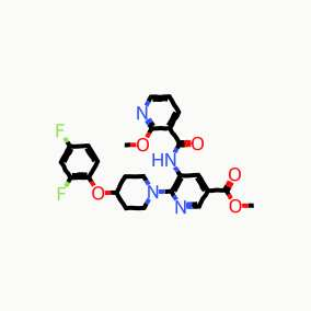 COC(=O)c1cnc(N2CCC(Oc3ccc(F)cc3F)CC2)c(NC(=O)c2cccnc2OC)c1